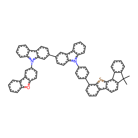 CC1(C)c2ccccc2-c2c1ccc1c2sc2c(-c3ccc(-n4c5ccccc5c5cc(-c6ccc7c8ccccc8n(-c8ccc9oc%10ccccc%10c9c8)c7c6)ccc54)cc3)cccc21